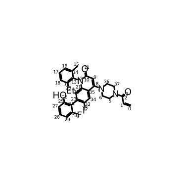 C=CC(=O)N1CCN(c2cc(=O)n(-c3c(C)cccc3CC)c3cc(-c4c(O)cccc4F)c(F)cc23)CC1